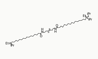 CCN(CCCCCCCCCCCCCCCC(=O)NCCSSCCNC(=O)CCCCCCCCCCCCCCC[N+](CC)(CC(C)C)C(C)C)C(C)C